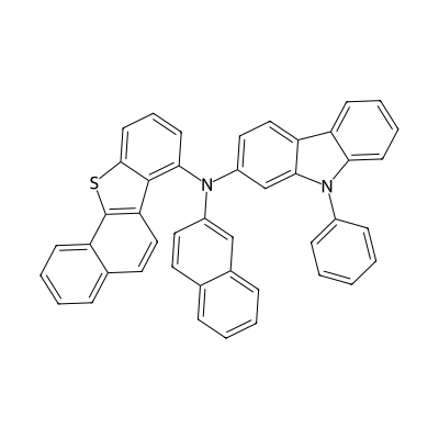 c1ccc(-n2c3ccccc3c3ccc(N(c4ccc5ccccc5c4)c4cccc5sc6c7ccccc7ccc6c45)cc32)cc1